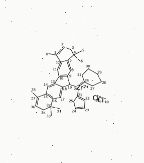 CC1=CCC(C)(C)c2cc3c(cc21)-c1cc2c(cc1[CH]3[Zr+2]([C]1=CC=CC1)=[C]1CCCCC1)C(C)(C)CC=C2C.[Cl-].[Cl-]